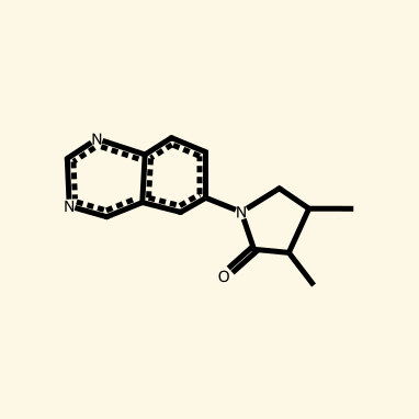 CC1CN(c2ccc3ncncc3c2)C(=O)C1C